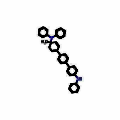 CC1(N(c2ccccc2)c2ccccc2)C=CC(c2ccc(-c3ccc(Nc4ccccc4)cc3)cc2)=CC1